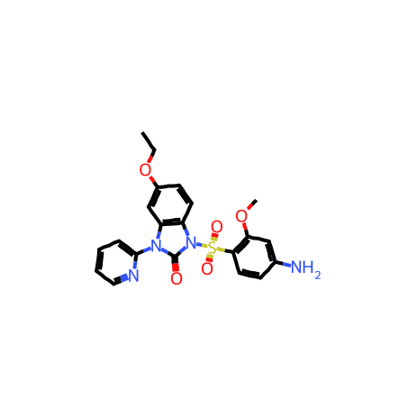 CCOc1ccc2c(c1)n(-c1ccccn1)c(=O)n2S(=O)(=O)c1ccc(N)cc1OC